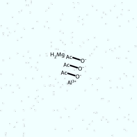 CC(=O)[O-].CC(=O)[O-].CC(=O)[O-].[Al+3].[MgH2]